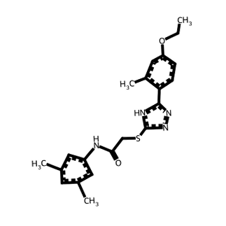 CCOc1ccc(-c2nnc(SCC(=O)Nc3cc(C)cc(C)c3)[nH]2)c(C)c1